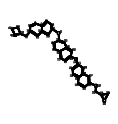 c1cc2ccc(Oc3ccc4ccc(Oc5ccc6ccc(OCC7CO7)cc6c5)cc4c3)cc2cc1CC1CCO1